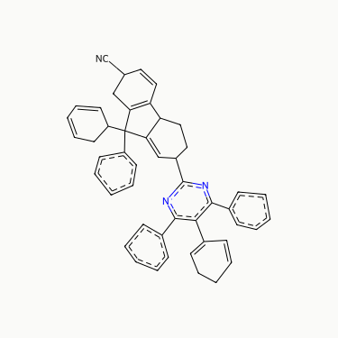 N#CC1C=CC2=C(C1)C(c1ccccc1)(C1C=CC=CC1)C1=CC(c3nc(-c4ccccc4)c(C4=CCCC=C4)c(-c4ccccc4)n3)CCC12